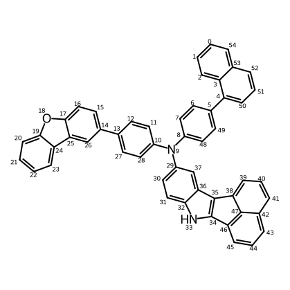 c1ccc2c(-c3ccc(N(c4ccc(-c5ccc6oc7ccccc7c6c5)cc4)c4ccc5[nH]c6c(c5c4)-c4cccc5cccc-6c45)cc3)cccc2c1